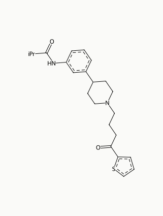 CC(C)C(=O)Nc1cccc(C2CCN(CCCC(=O)c3cccs3)CC2)c1